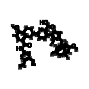 C=Cc1nc(NC(=O)c2ccc(OC)c3c2CN(c2ccc(-c4cnn(CC56CC7(C)CC(C)(C5)CC(OC)(C7)C6)c4C)c(C(=O)O)n2)CC3)sc1C=C